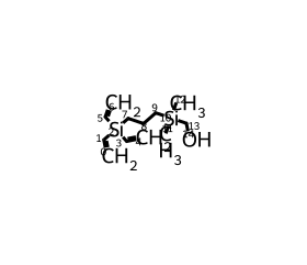 C=C[Si](C=C)(C=C)CCC[Si](C)(C)CO